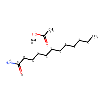 CC(=O)O.CCCCCCCCCCCC(N)=O.[NaH]